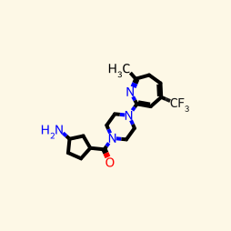 CC1=NC(N2CCN(C(=O)C3CCC(N)C3)CC2)=CC(C(F)(F)F)=CC1